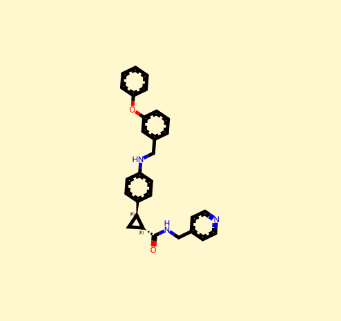 O=C(NCc1ccncc1)[C@@H]1C[C@H]1c1ccc(NCc2cccc(Oc3ccccc3)c2)cc1